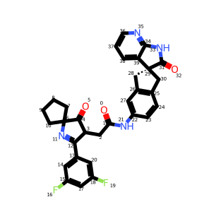 O=C(CC1C(=O)C2(CCCC2)N=C1c1cc(F)cc(F)c1)Nc1ccc2c(c1)C[C@@]1(C2)C(=O)Nc2ncccc21